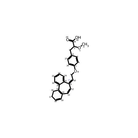 COC(Cc1ccc(OC/C=C2/C=CC3=C(CCC=C3)c3ccccc32)cc1)C(=O)O